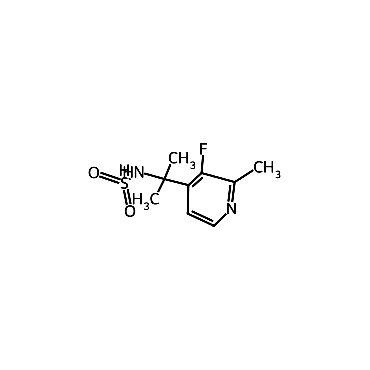 Cc1nccc(C(C)(C)N[SH](=O)=O)c1F